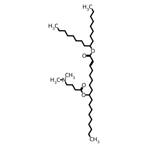 CCCCCCCCCC(CCCCCC=CC(=O)OC(CCCCCCCC)CCCCCCCC)OC(=O)CCCN(C)C